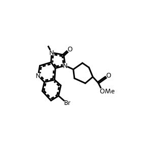 COC(=O)C1CCC(n2c(=O)n(C)c3cnc4ccc(Br)cc4c32)CC1